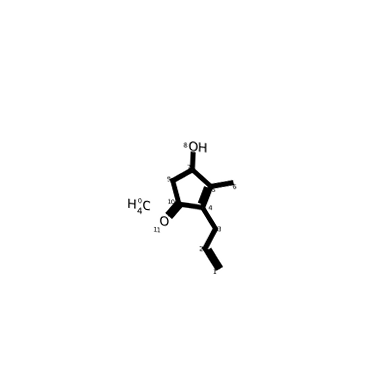 C.C=CCC1=C(C)C(O)CC1=O